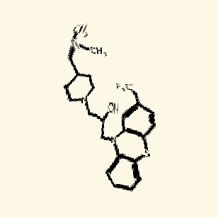 CN(C)CC1CCN(CC(O)CN2c3ccccc3Sc3ccc(C(F)(F)F)cc32)CC1